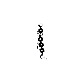 C/C=C/c1ccc(-c2ccc(C3CCC(C(=O)Oc4ccc(C5CO5)cc4F)CC3)c(F)c2F)cc1